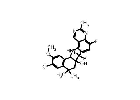 COc1cc2c(cc1Cl)C(C)(C)CC(O)(C(F)(F)F)C2Nc1ccc(F)c2nc(C)ncc12